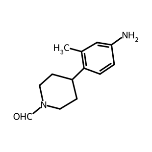 Cc1cc(N)ccc1C1CCN(C=O)CC1